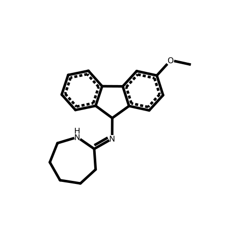 COc1ccc2c(c1)-c1ccccc1C2N=C1CCCCCN1